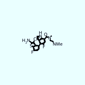 CNCCN(C)C(=O)c1cc(F)c(-c2ccc(F)c3sc(N)c(C#N)c23)c2cc[nH]c12